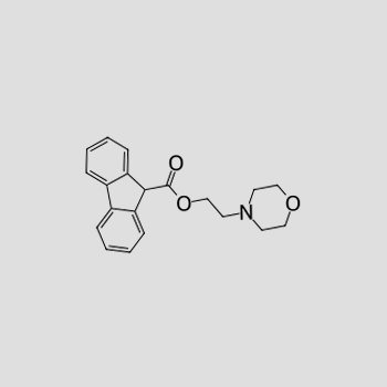 O=C(OCCN1CCOCC1)C1c2ccccc2-c2ccccc21